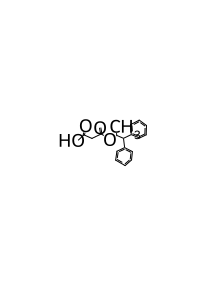 CC(OC(=O)CC(=O)O)C(c1ccccc1)c1ccccc1